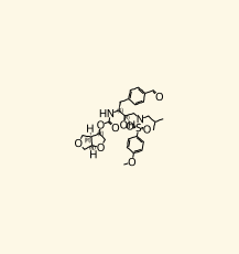 COc1ccc(S(=O)(=O)N(CC(C)C)C[C@@H](O)[C@H](Cc2ccc(C=O)cc2)NC(=O)O[C@H]2CO[C@H]3COC[C@H]32)cc1